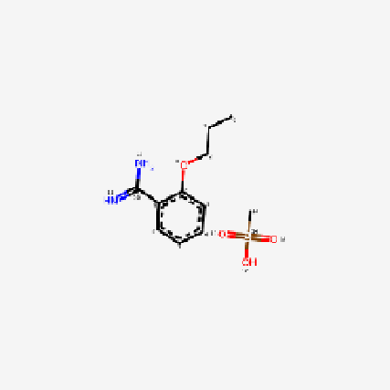 CCCOc1ccccc1C(=N)N.CS(=O)(=O)O